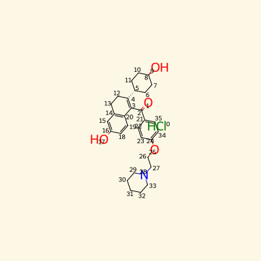 Cl.O=C(C1=C([C@H]2CC[C@H](O)CC2)CCc2cc(O)ccc21)c1ccc(OCCN2CCCCC2)cc1